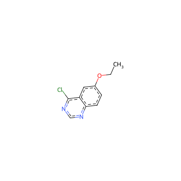 CCOc1ccc2ncnc(Cl)c2c1